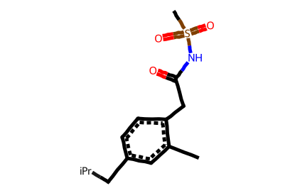 Cc1cc(CC(C)C)ccc1CC(=O)NS(C)(=O)=O